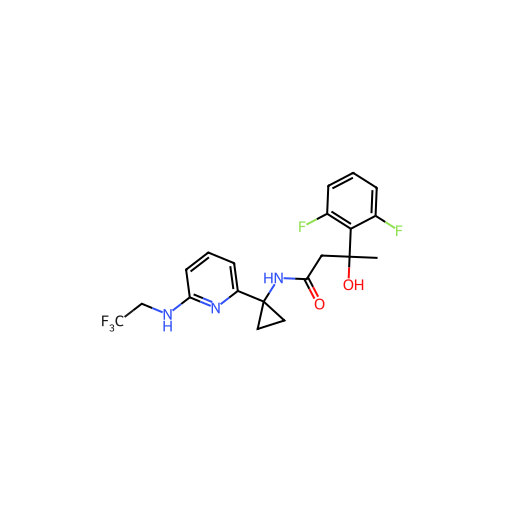 CC(O)(CC(=O)NC1(c2cccc(NCC(F)(F)F)n2)CC1)c1c(F)cccc1F